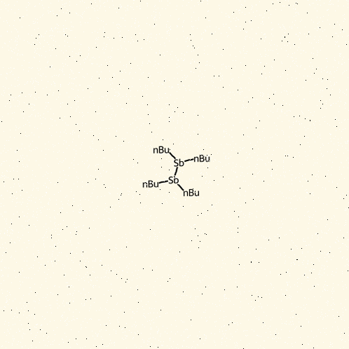 CCC[CH2][Sb]([CH2]CCC)[Sb]([CH2]CCC)[CH2]CCC